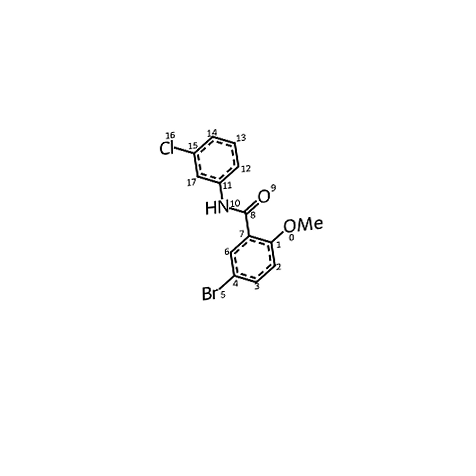 COc1ccc(Br)cc1C(=O)Nc1cccc(Cl)c1